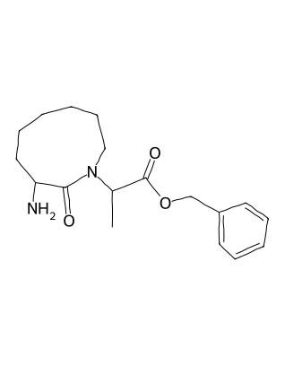 CC(C(=O)OCc1ccccc1)N1CCCCCCC(N)C1=O